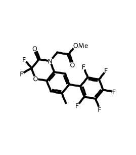 COC(=O)CN1C(=O)C(F)(F)Oc2cc(C)c(-c3c(F)c(F)c(F)c(F)c3F)cc21